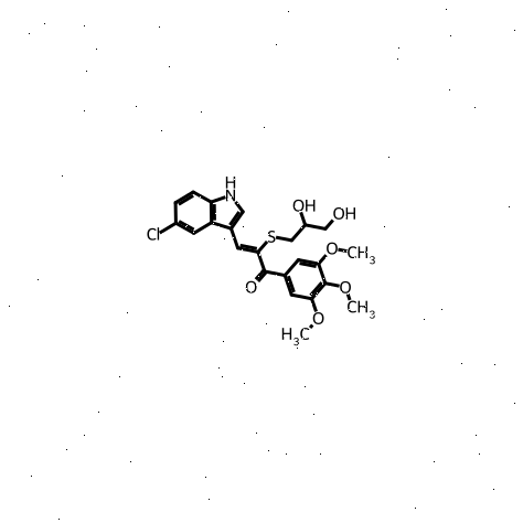 COc1cc(C(=O)C(=Cc2c[nH]c3ccc(Cl)cc23)SCC(O)CO)cc(OC)c1OC